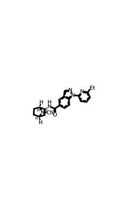 CCc1cccc(-n2ncc3cc(C(=O)N[C@@H]4C[C@@H]5CC[C@H]4N5C#N)ccc32)n1